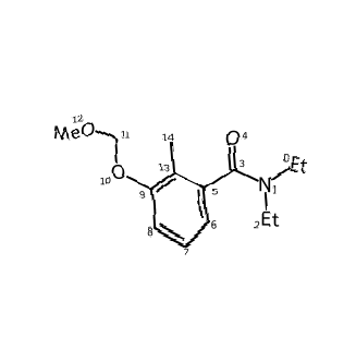 CCN(CC)C(=O)c1cccc(OCOC)c1C